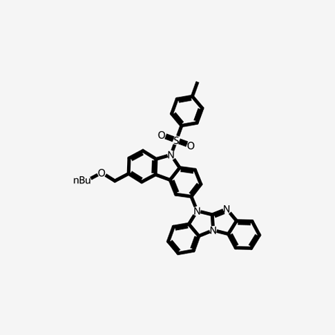 CCCCOCc1ccc2c(c1)c1cc(-n3c4ccccc4n4c5ccccc5nc34)ccc1n2S(=O)(=O)c1ccc(C)cc1